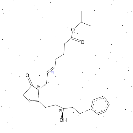 CC(C)OC(=O)CCC/C=C/C[C@H]1C(=O)CC=C1CC[C@H](O)CCc1ccccc1